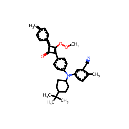 C=c1ccc(=C2C(=O)C(c3ccc(N(c4ccc(C)c(C#N)c4)C4CCC(C(C)(C)C)CC4)cc3)=C2OOC)cc1